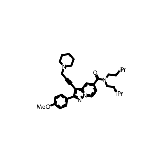 COc1ccc(-c2nn3ccc(C(=O)N(CCC(C)C)CCC(C)C)cc3c2C#CCN2CCCCC2)cc1